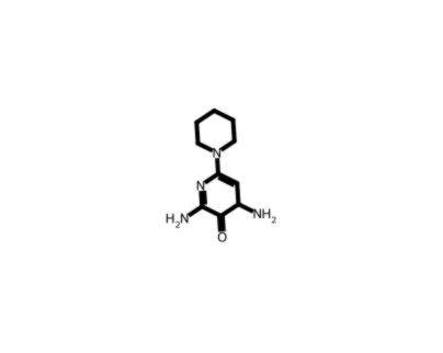 NC1=NC(N2CCCCC2)=CC(N)C1=O